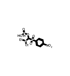 CCN(CC)C(O[PH](=O)O)S(=O)(=O)c1ccc([N+](=O)[O-])cc1